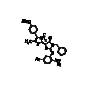 CCNc1ccc(C(C)=O)cc1N=C1SC(=C2SC(C)=C(c3ccc(OC)cc3)N2C)C(=O)N1Cc1ccccc1